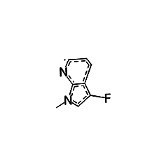 Cn1cc(F)c2cc[c]nc21